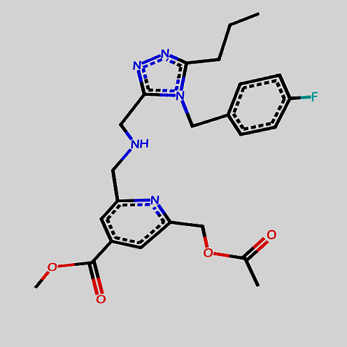 CCCc1nnc(CNCc2cc(C(=O)OC)cc(COC(C)=O)n2)n1Cc1ccc(F)cc1